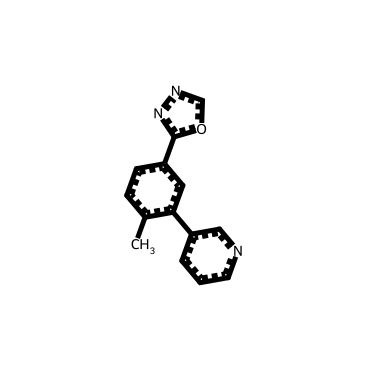 Cc1ccc(-c2nnco2)cc1-c1cccnc1